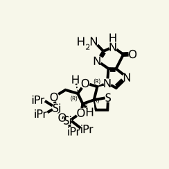 CC(C)[Si]1(C(C)C)OC[C@H]2O[C@@H](n3cnc4c(=O)[nH]c(N)nc43)[C@@]3(CCS3)[C@@H]2O[Si](C(C)C)(C(C)C)O1